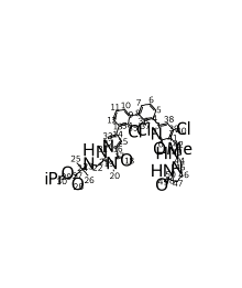 COc1nc(-c2cccc(-c3cccc(-c4cc5c(=O)n(C)c(CNC(C)(C)C(=O)OC(C)C)nn5c4)c3Cl)c2Cl)cc(Cl)c1CNCN1CCC(=O)N1